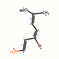 CO/C(C)=C/C=C(Br)\C=C\P